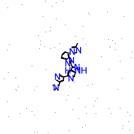 Cc1cn(-c2cccc3[nH]c(-c4n[nH]c5cnc(-c6cncc(CN(C)C)c6)cc45)nc23)cn1